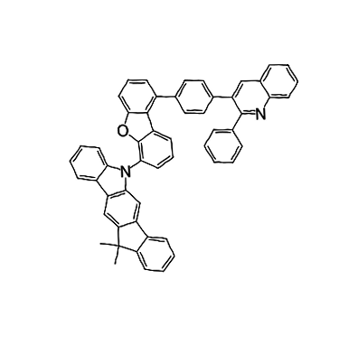 CC1(C)c2ccccc2-c2cc3c(cc21)c1ccccc1n3-c1cccc2c1oc1cccc(-c3ccc(-c4cc5ccccc5nc4-c4ccccc4)cc3)c12